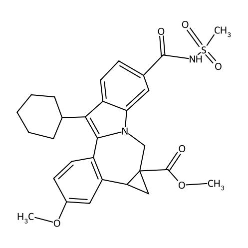 COC(=O)C12CC1c1cc(OC)ccc1-c1c(C3CCCCC3)c3ccc(C(=O)NS(C)(=O)=O)cc3n1C2